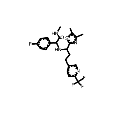 CNC(=O)C(NC(CCc1ccc(C(F)(F)F)nc1)c1nc(C)c(C)s1)c1ccc(F)cc1